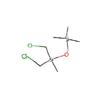 C[Si](C)(C)O[Si](C)(CCl)CCl